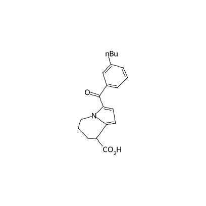 CCCCc1cccc(C(=O)c2ccc3n2CCCC3C(=O)O)c1